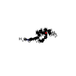 C=CC(=O)N1CCC2CN(CCN3CCC(CN4CCC56CN(c7ncncc7Oc7ccc(F)cc7C(=O)N(CC)C(C)C)C5C(C)N(C(=O)c5cc(F)ccc5Oc5cncnc5N5CC[C@@H](CN7CC8(CCN(CCN9CCN(C(=O)/C=C/COC)CC9)CC8)C7)C5)C(C)C6C4)CC3)C[C@H]21